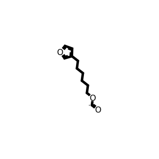 O=[C]OCCCCCCc1ccoc1